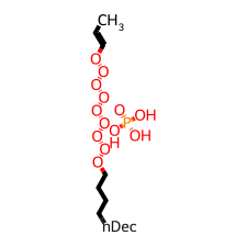 CC=COOOOOOOOOCCCCCCCCCCCCCC.O=P(O)(O)O